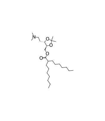 CCCCCCCC(CCCCCCC)C(=O)OC[C@@H]1OC(C)(C)O[C@H]1CCN(C)C